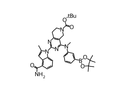 Cc1cc2c(C(N)=O)cccc2n1-c1nc2c(c(N(C)c3cccc(B4OC(C)(C)C(C)(C)O4)c3)n1)CN(C(=O)OC(C)(C)C)CC2